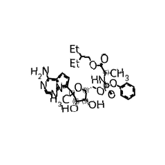 CCC(CC)COC(=O)[C@H](C)N[P@](=O)(OC[C@H]1O[C@@](C)(c2ccc3c(N)ncnn23)[C@H](O)[C@@H]1O)Oc1ccccc1